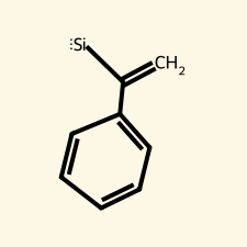 C=C([Si])c1ccccc1